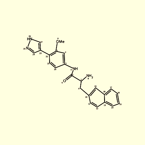 COc1cc(NC(=O)C(N)Cc2ccc3ccccc3c2)ccc1-c1cn[nH]c1